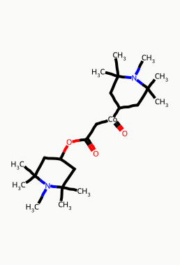 CN1C(C)(C)CC(OC(=O)[CH2][Co](=[O])[CH]2CC(C)(C)N(C)C(C)(C)C2)CC1(C)C